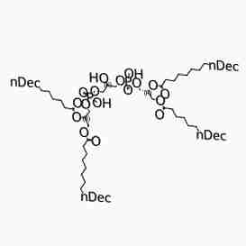 CCCCCCCCCCCCCCCCCC(=O)OC[C@H](COP(=O)(O)OC[C@@H](O)COP(=O)(O)OC[C@@H](COC(=O)CCCCCCCCCCCCCCC)OC(=O)CCCCCCCCCCCCCCCCC)OC(=O)CCCCCCCCCCCCCCC